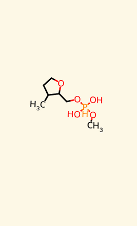 CO[PH](O)(O)OCC1OCCC1C